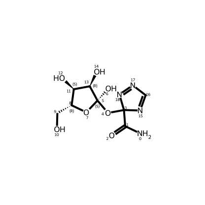 NC(=O)C1(O[C@@]2(O)O[C@H](CO)[C@@H](O)[C@H]2O)N=CN=N1